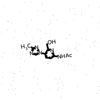 CC(=O)Nc1ccc(-n2cnc(C)n2)c(CO)n1